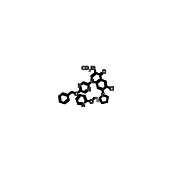 CCOC(=O)c1cn(-c2cnc(OCc3ccccc3)cn2)c2cc(N3CCC[C@@H]3COc3ccccn3)c(Cl)cc2c1=O